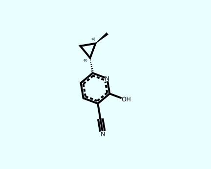 C[C@@H]1C[C@H]1c1ccc(C#N)c(O)n1